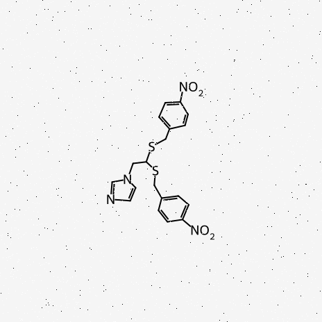 O=[N+]([O-])c1ccc(CSC(Cn2ccnc2)SCc2ccc([N+](=O)[O-])cc2)cc1